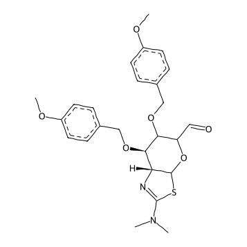 COc1ccc(COC2C(C=O)OC3SC(N(C)C)=N[C@@H]3[C@H]2OCc2ccc(OC)cc2)cc1